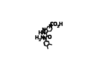 Cc1ccc(N(N)C(=O)c2[nH]nc3c2CCN(C(=O)O)C3)cc1C